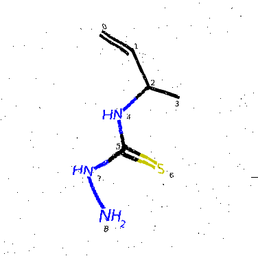 C=CC(C)NC(=S)NN